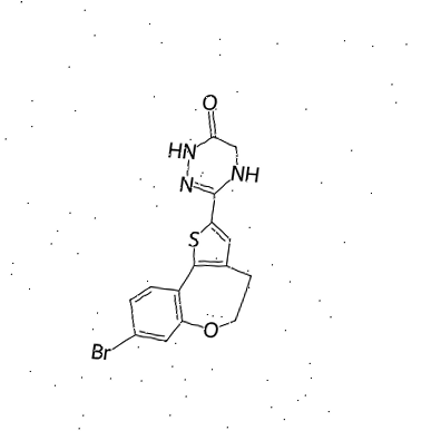 O=C1CNC(c2cc3c(s2)-c2ccc(Br)cc2OCC3)=NN1